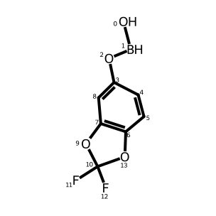 OBOc1ccc2c(c1)OC(F)(F)O2